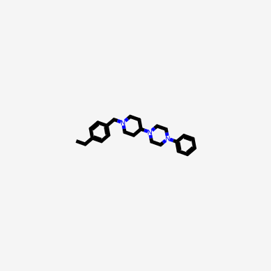 CCc1ccc(CN2CCC(N3CCN(c4ccccc4)CC3)CC2)cc1